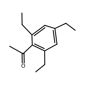 CCc1cc(CC)c(C(C)=O)c(CC)c1